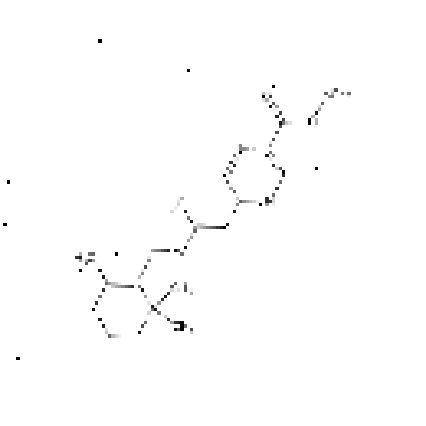 CCCCCCCCOC(=O)c1cnc(/C=C(\C)C=CC2=C(C)CCCC2(C)C)cn1